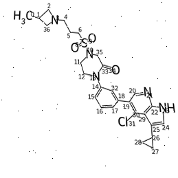 CC1CN(CCCS(=O)(=O)N2CCN(c3cccc(-c4cnc5[nH]cc(C6CC6)c5c4Cl)c3)C(=O)C2)C1